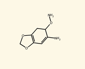 NOC1CC2=C(C=C1N)OCO2